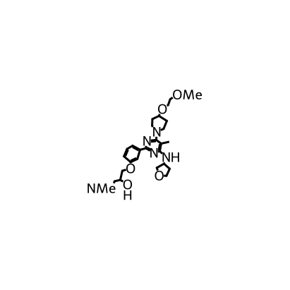 CNCC(O)COc1cccc(-c2nc(N[C@@H]3CCOC3)c(C)c(N3CCC(OCCOC)CC3)n2)c1